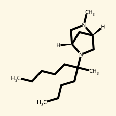 CCCCCC(C)(CCCC)N1C[C@@H]2C[C@H]1CN2C